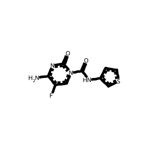 Nc1nc(=O)n(C(=O)Nc2ccsc2)cc1F